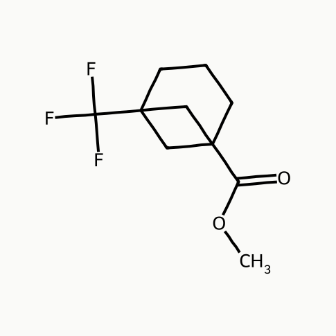 COC(=O)C12CCCC(C(F)(F)F)(C1)C2